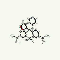 CN(C)c1ccc2c(c1)S(=O)(=O)c1cc(N(C)C)ccc1C21Oc2ccccc2-c2[nH]c3ccccc3c21